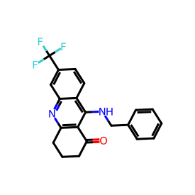 O=C1CCCc2nc3cc(C(F)(F)F)ccc3c(NCc3ccccc3)c21